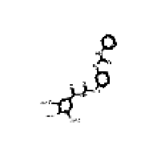 COc1cc(C(=O)NC(=S)Nc2cccc(NC(=O)Nc3ccccc3)c2)cc(OC)c1OC